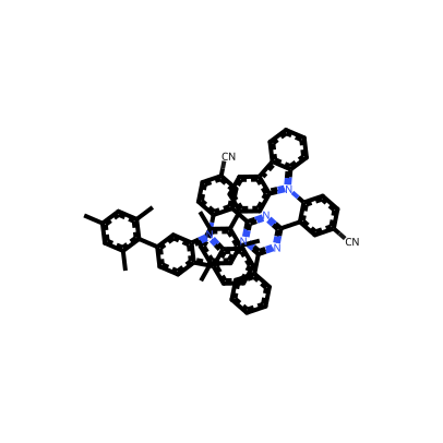 Cc1cc(C)c(-c2ccc3c4ccccc4n(-c4ccc(C#N)cc4-c4nc(-c5ccccc5)nc(-c5cc(C#N)ccc5-n5c6ccccc6c6ccc(-c7c(C)cc(C)cc7C)cc65)n4)c3c2)c(C)c1